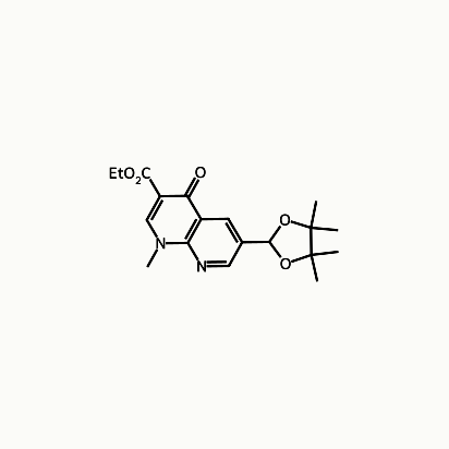 CCOC(=O)c1cn(C)c2ncc(C3OC(C)(C)C(C)(C)O3)cc2c1=O